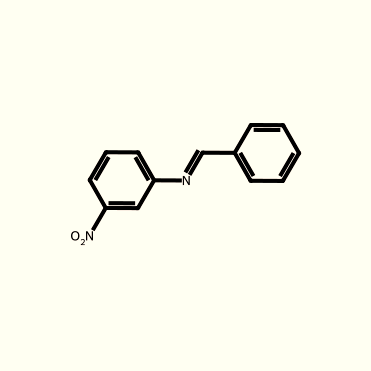 O=[N+]([O-])c1cccc(/N=C/c2ccccc2)c1